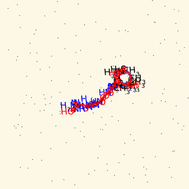 CO[C@H]1C[C@@H]2CC[C@@H](C)[C@@](O)(O2)C(=O)C(=O)N2CCCC[C@H]2C(=O)O[C@H]([C@H](N)C[C@@H]2CC[C@H](n3cc(COC(=O)NCCOCCOCCC(=O)NCc4cnc(N5CCN(c6ncc(C(=O)NCCCCn7nc(-c8cc9cc(O)ccc9[nH]8)c8c(N)ncnc87)cn6)CC5)nc4)nn3)[C@H](OC)C2)CC(=O)[C@H](C)/C=C(\C)[C@@H](O)[C@@H](O)C(=O)[C@H](C)C[C@H](C)/C=C/C=C/C=C/1C